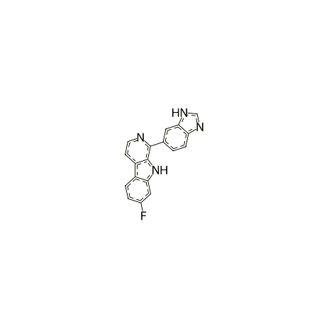 Fc1ccc2c(c1)[nH]c1c(-c3ccc4nc[nH]c4c3)nccc12